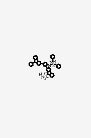 CC1(C)c2ccccc2-c2cc3c(cc21)c1cc(-c2ccc4c(c2)-c2ccccc2C4c2ccccc2)ccc1n3-c1nc(-c2ccccc2)nc(-c2ccccc2)n1